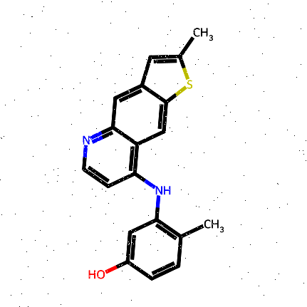 Cc1cc2cc3nccc(Nc4cc(O)ccc4C)c3cc2s1